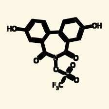 O=c1c2cc(O)ccc2c2ccc(O)cc2c(=O)n1OS(=O)(=O)C(F)(F)F